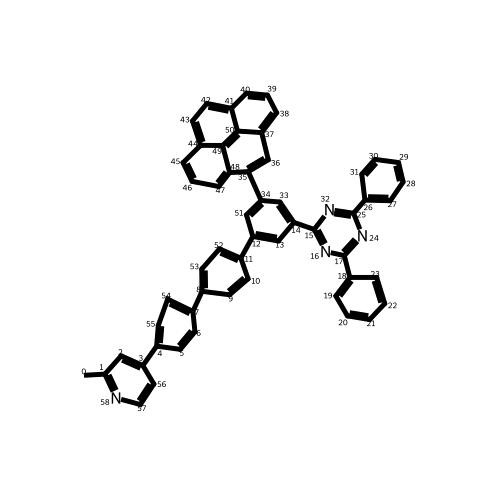 Cc1cc(-c2ccc(-c3ccc(-c4cc(-c5nc(-c6ccccc6)nc(-c6ccccc6)n5)cc(-c5cc6cccc7ccc8cccc5c8c76)c4)cc3)cc2)ccn1